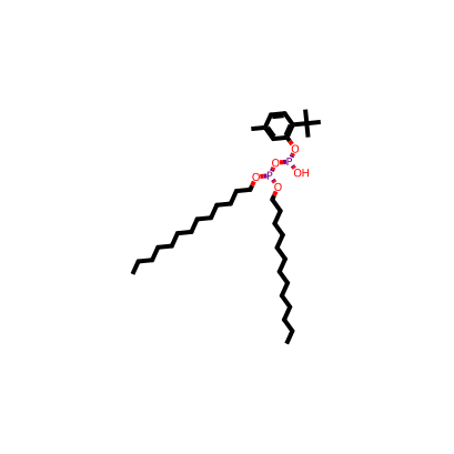 CCCCCCCCCCCCCOP(OCCCCCCCCCCCCC)OP(O)Oc1cc(C)ccc1C(C)(C)C